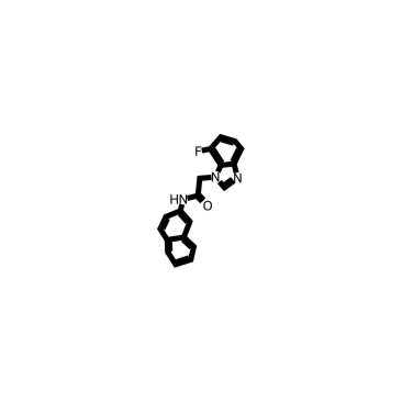 O=C(Cn1cnc2cccc(F)c21)Nc1ccc2ccccc2c1